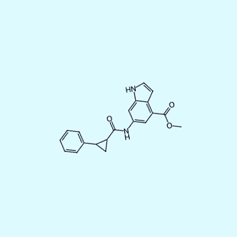 COC(=O)c1cc(NC(=O)C2CC2c2ccccc2)cc2[nH]ccc12